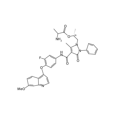 COc1ccc2c(Oc3ccc(NC(=O)c4c(C)n(C[C@@H](C)OC(=O)C(C)N)n(-c5ccccc5)c4=O)cc3F)ccnc2c1